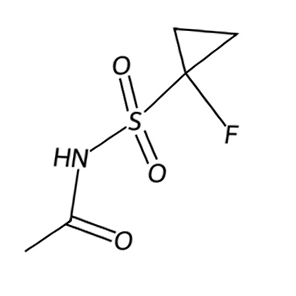 CC(=O)NS(=O)(=O)C1(F)CC1